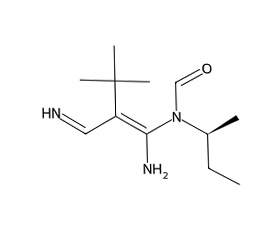 CC[C@H](C)N(C=O)/C(N)=C(/C=N)C(C)(C)C